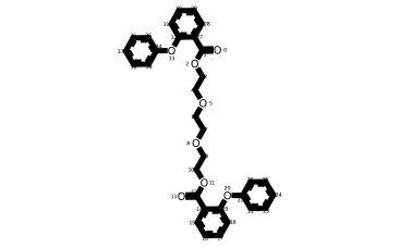 O=C(OCCOCCOCCOC(=O)c1ccccc1Oc1ccccc1)c1ccccc1Oc1ccccc1